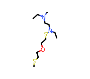 CCN(C)CCN(CC)SCCOCCSC